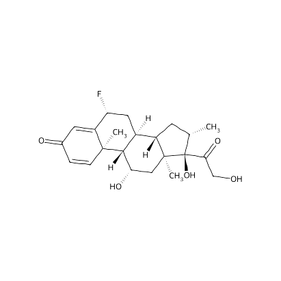 C[C@H]1C[C@H]2[C@@H]3C[C@@H](F)C4=CC(=O)C=C[C@]4(C)[C@H]3[C@@H](O)C[C@]2(C)[C@@]1(O)C(=O)CO